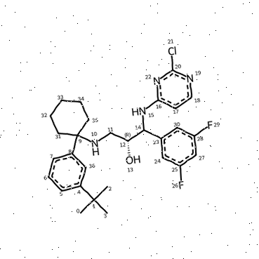 CC(C)(C)c1cccc(C2(NC[C@@H](O)C(Nc3ccnc(Cl)n3)c3cc(F)cc(F)c3)CCCCC2)c1